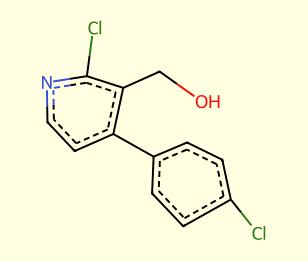 OCc1c(-c2ccc(Cl)cc2)ccnc1Cl